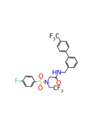 O=C(CN(CC(F)(F)F)S(=O)(=O)c1ccc(F)cc1)NCc1cccc(-c2ccc(C(F)(F)F)cc2)c1